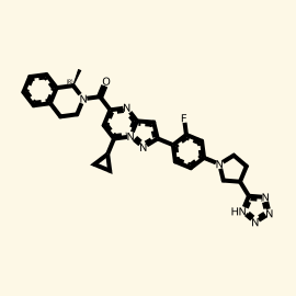 C[C@@H]1c2ccccc2CCN1C(=O)c1cc(C2CC2)n2nc(-c3ccc(N4CCC(c5nnn[nH]5)C4)cc3F)cc2n1